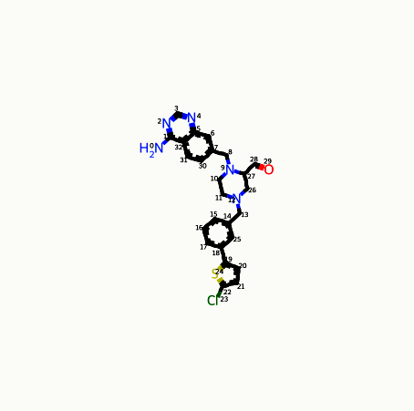 Nc1ncnc2cc(CN3CCN(Cc4cccc(-c5ccc(Cl)s5)c4)CC3C=O)ccc12